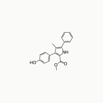 COC(=O)c1[nH]c(-c2ccccc2)c(C)c1-c1ccc(O)cc1